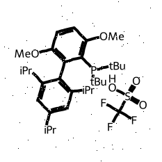 COc1ccc(OC)c(P(C(C)(C)C)C(C)(C)C)c1-c1c(C(C)C)cc(C(C)C)cc1C(C)C.O=S(=O)(O)C(F)(F)F